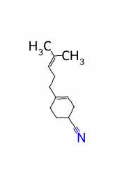 CC(C)=CCCC1=CCC(C#N)CC1